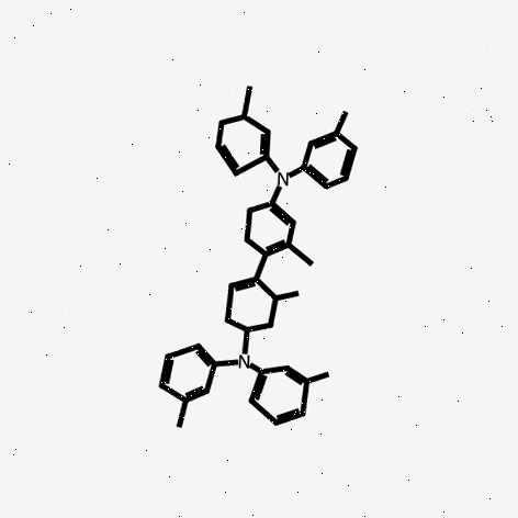 CC1=C(C2=CCC(N(c3cccc(C)c3)c3cccc(C)c3)CC2C)CCC(N(C2=CC(C)CC=C2)c2cccc(C)c2)=C1